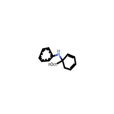 CCCCCCCCC1(Nc2ccccc2)C=CC=CC1